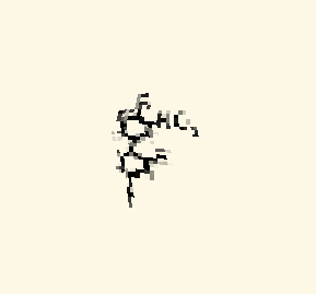 O=[N+]([O-])c1cc(-c2ccc(F)cc2F)ccc1F